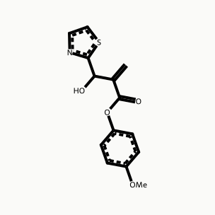 C=C(C(=O)Oc1ccc(OC)cc1)C(O)c1nccs1